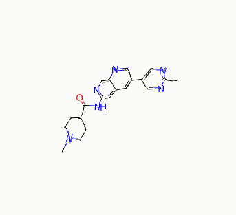 Cc1ncc(-c2cnc3cnc(NC(=O)C4CCN(C)CC4)cc3c2)cn1